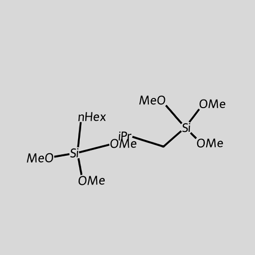 CCCCCC[Si](OC)(OC)OC.CO[Si](CC(C)C)(OC)OC